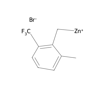 Cc1cccc(C(F)(F)F)c1[CH2][Zn+].[Br-]